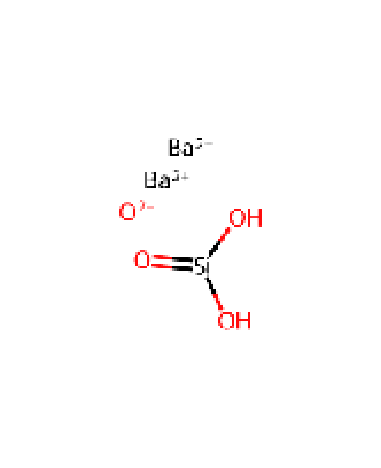 O=[Si](O)O.[Ba+2].[Ba+2].[O-2]